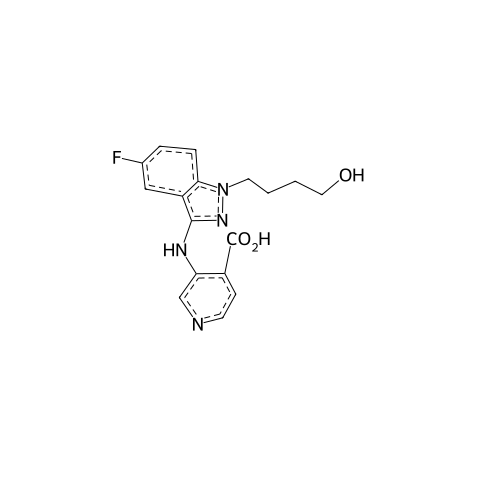 O=C(O)c1ccncc1Nc1nn(CCCCO)c2ccc(F)cc12